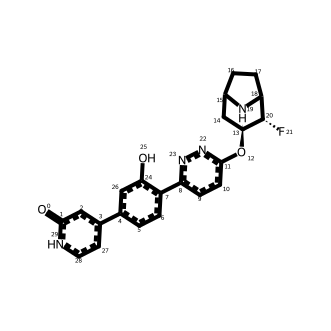 O=c1cc(-c2ccc(-c3ccc(O[C@H]4CC5CCC(N5)[C@@H]4F)nn3)c(O)c2)cc[nH]1